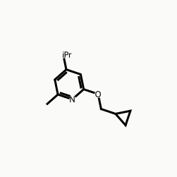 Cc1cc(C(C)C)cc(OCC2CC2)n1